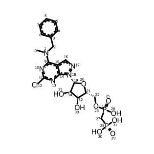 CN(Cc1ccccc1)c1nc(Cl)nc2c1cnn2[C@@H]1O[C@H](COP(=O)(O)CP(=O)(O)O)[C@@H](O)[C@H]1O